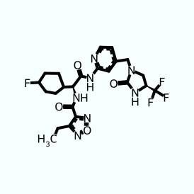 CCc1nonc1C(=O)N[C@H](C(=O)Nc1cc(CN2C[C@@H](C(F)(F)F)NC2=O)ccn1)C1CCC(F)CC1